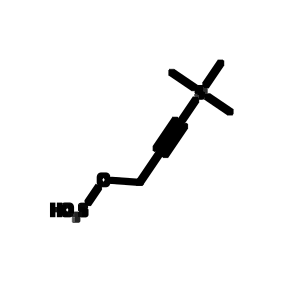 C[Si](C)(C)C#CCOS(=O)(=O)O